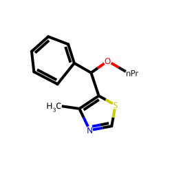 CCCOC(c1ccccc1)c1scnc1C